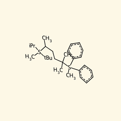 CC(C)S(C)(C(C)CCC(C)(C)S(C)(c1ccccc1)c1ccccc1)C(C)(C)C